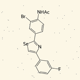 CC(=O)Nc1ccc(-c2nc(-c3cccc(F)c3)c[se]2)cc1Br